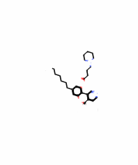 CCCCCCCc1cc(OC(=O)CCCN2CCCCC2)c2c(c1)OC(C)(C)c1ccncc1-2.Cl